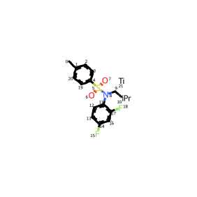 Cc1ccc(S(=O)(=O)N(CC(C)C)c2ccc(F)[c]c2F)cc1.[Ti]